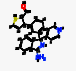 NC1=NC(c2ccncc2)(c2cccc(C3C=CSC3C=O)c2)c2ccccc21